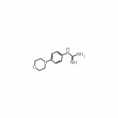 N=C(N)Nc1ccc(N2CCOCC2)cc1